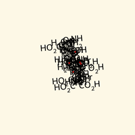 CC(C)C[C@H](NC(=O)[C@H](Cc1ccc(O)cc1)NC(=O)[C@H](CCC(=O)O)NC(=O)[C@@H](NC(=O)[C@@H](NC(=O)[C@H](CC(=O)O)NC(=O)[C@H](CC(N)=O)NC(=O)[C@@H](NC(=O)[C@H](Cc1ccc(O)cc1)NC(=O)[C@@H](NC(=O)CNC(=O)[C@H](CCC(=O)O)NC(=O)[C@H](C)NC(=O)[C@@H](N)Cc1c[nH]cn1)[C@@H](C)O)[C@@H](C)O)C(C)C)[C@@H](C)O)C(=O)N[C@@H](CCC(=O)O)C(=O)N[C@@H](CCC(=O)O)C(=O)N[C@@H](CCCCN)C(=O)O